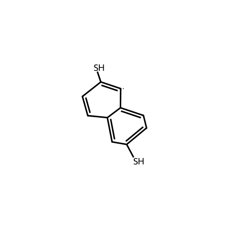 Sc1[c]c2ccc(S)cc2cc1